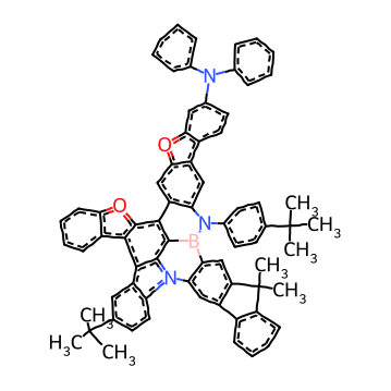 CC(C)(C)c1ccc(N2B3c4cc5c(cc4-n4c6ccc(C(C)(C)C)cc6c6c7c(oc8ccccc87)c(c3c64)-c3cc4oc6cc(N(c7ccccc7)c7ccccc7)ccc6c4cc32)-c2ccccc2C5(C)C)cc1